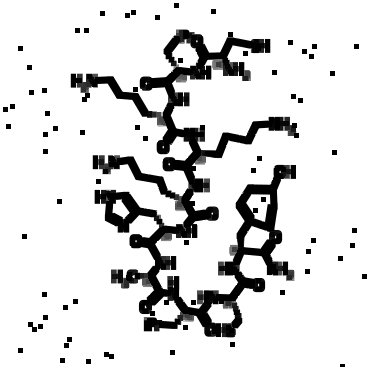 CC(C)C[C@H](NC(=O)[C@H](C)NC(=O)[C@H](Cc1c[nH]cn1)NC(=O)[C@H](CCCCN)NC(=O)[C@H](CCCCN)NC(=O)[C@H](CCCCN)NC(=O)[C@H](CC(C)C)NC(=O)[C@@H](N)CS)C(=O)N[C@@H](CS)C(=O)N[C@@H](Cc1ccc(O)cc1)C(N)=O